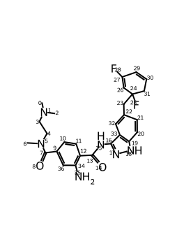 CN(C)CCN(C)C(=O)c1ccc(C(=O)Nc2n[nH]c3ccc(CC4(F)C=C(F)C=CC4)cc23)c(N)c1